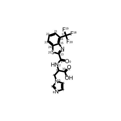 O=C(NC(Cn1ccnc1)C(=O)O)c1nc2c(C(F)(F)F)cccc2s1